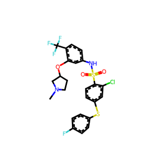 CN1CCC(Oc2cc(NS(=O)(=O)c3ccc(Sc4ccc(F)cc4)cc3Cl)ccc2C(F)(F)F)C1